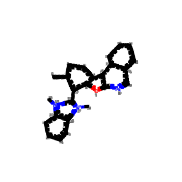 Cc1ccc2c(oc3ncc4ccccc4c32)c1-c1n(C)c2ccccc2[n+]1C